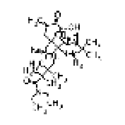 C=C(CC(C)(CC)C(C)(N)C(C#N)CC(C)(C)C(C)(C)C(=O)N(CC)CC)C(=O)N(O)CCNC(C)(C)C